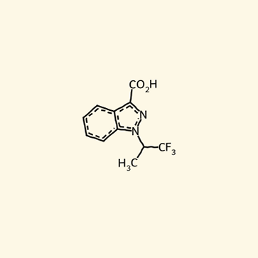 CC(n1nc(C(=O)O)c2ccccc21)C(F)(F)F